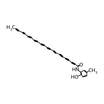 CC#CC#CC#CC#CC#CC#CC#CC#CC#CC#CC(=O)Nc1cc(C)ccc1O